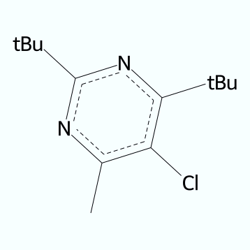 Cc1nc(C(C)(C)C)nc(C(C)(C)C)c1Cl